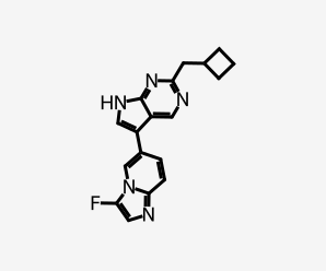 Fc1cnc2ccc(-c3c[nH]c4nc(CC5CCC5)ncc34)cn12